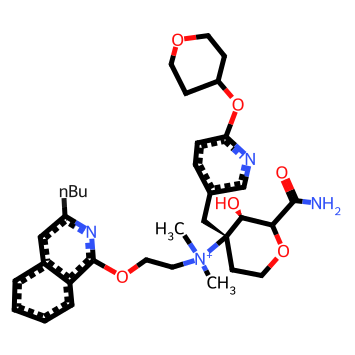 CCCCc1cc2ccccc2c(OCC[N+](C)(C)[C@@]2(Cc3ccc(OC4CCOCC4)nc3)CCOC(C(N)=O)[C@@H]2O)n1